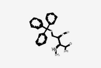 CNC(C(=O)O)C(=C=O)CSC(c1ccccc1)(c1ccccc1)c1ccccc1